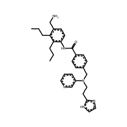 CCCc1c(CN)ccc(NC(=O)c2ccc(CN(CCc3ncc[nH]3)c3cccnc3)cc2)c1CCC